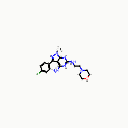 Cn1nc(-c2ccc(F)cc2)c2c(N)nc(NCCN3CCOCC3)nc21